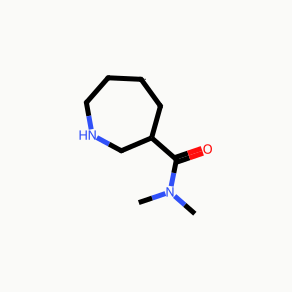 CN(C)C(=O)C1C[CH]CCNC1